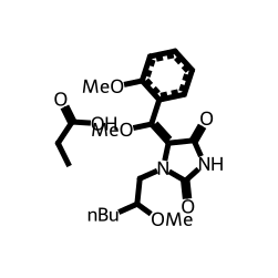 CCC(=O)O.CCCCC(CN1C(=O)NC(=O)C1=C(OC)c1ccccc1OC)OC